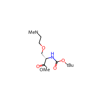 CNCCOC[C@H](NC(=O)OC(C)(C)C)C(=O)OC